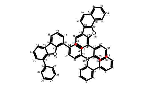 c1ccc(-c2ccccc2N(c2ccc(-c3cccc4c3oc3c(-c5ccccc5)cccc34)cc2)c2ccccc2-c2cccc3c2oc2c4ccccc4ccc32)cc1